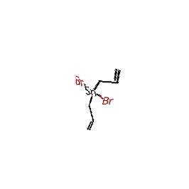 C=C[CH2][Sn]([Br])([Br])[CH2]C=C